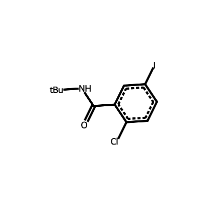 CC(C)(C)NC(=O)c1cc(I)ccc1Cl